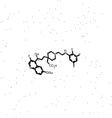 COc1ccc2ncc(F)c([C@@H](O)CCC3(CC(=O)O)CCN(CCNc4cc(F)cc(F)c4F)CC3)c2c1